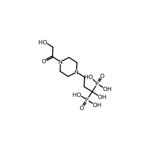 O=C(CO)N1CCN(CCC(O)(P(=O)(O)O)P(=O)(O)O)CC1